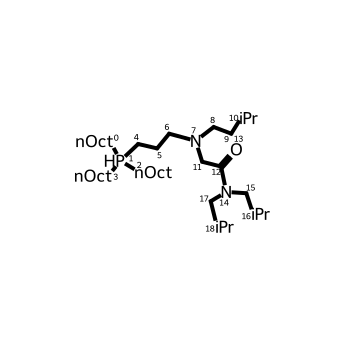 CCCCCCCC[PH](CCCCCCCC)(CCCCCCCC)CCCN(CCC(C)C)CC(=O)N(CC(C)C)CC(C)C